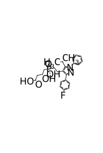 CC(C)c1c(CCP(=O)(O)CC(O)CC(=O)O)c(-c2ccc(F)cc2)nn1-c1ccccc1